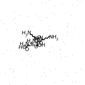 NCCCC[C@H](N)C(=O)N(C(=O)[C@@H](N)CCCCN)[C@@H](CSSC[C@H](N)C(=O)O)C(=O)O